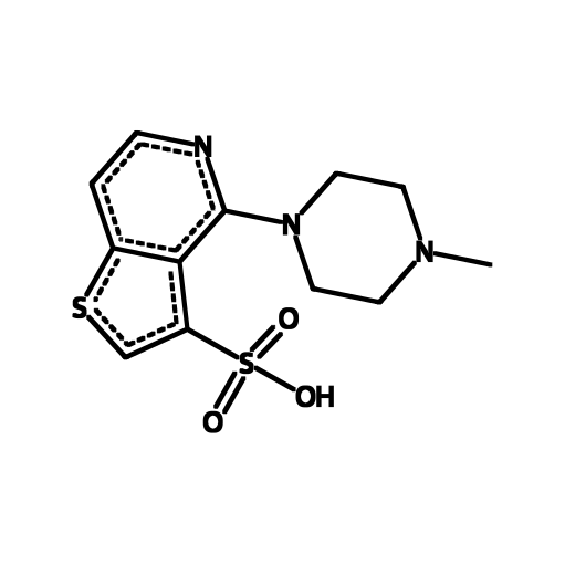 CN1CCN(c2nccc3scc(S(=O)(=O)O)c23)CC1